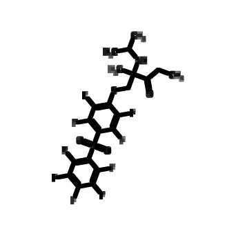 CCC(=O)C(C)(CSc1c(F)c(F)c(S(=O)(=O)c2c(F)c(F)c(F)c(F)c2F)c(F)c1F)NC(C)C